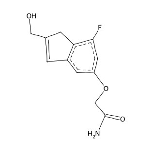 NC(=O)COc1cc(F)c2c(c1)C=C(CO)C2